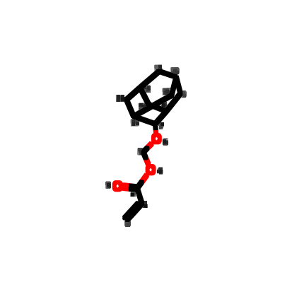 C=CC(=O)OCOC1C2CC3CC(C2)CC1C3